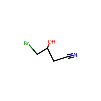 N#CCC(O)CBr